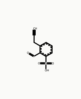 C#CCc1cccc(S(=O)(=O)O)c1I=O